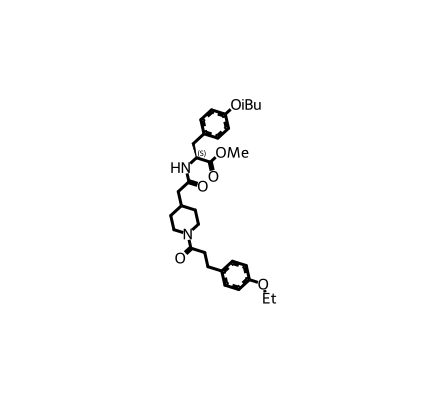 CCOc1ccc(CCC(=O)N2CCC(CC(=O)N[C@@H](Cc3ccc(OCC(C)C)cc3)C(=O)OC)CC2)cc1